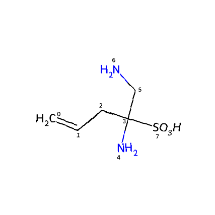 C=CCC(N)(CN)S(=O)(=O)O